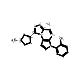 Cc1ccccc1-n1ccc2c1ncc1nnc([C@@H]3CC[C@H](N)C3)n12.Cl